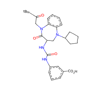 CC(C)(C)C(=O)CN1C(=O)C(NC(=O)Nc2cccc(C(=O)O)c2)CN(C2CCCC2)c2ccccc21